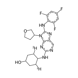 [2H]C1CC(O)CC([2H])C1Nc1ncc2nc(Nc3c(F)cc(F)cc3F)n(C3CCOC3)c2n1